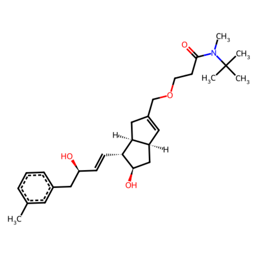 Cc1cccc(C[C@@H](O)/C=C/[C@@H]2[C@H]3CC(COCCC(=O)N(C)C(C)(C)C)=C[C@H]3C[C@H]2O)c1